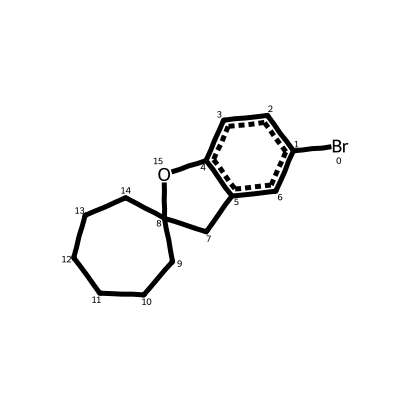 Brc1ccc2c(c1)CC1(CCCCCC1)O2